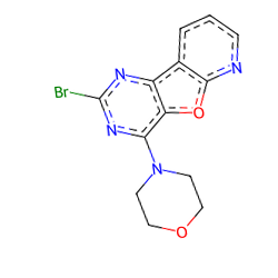 Brc1nc(N2CCOCC2)c2oc3ncccc3c2n1